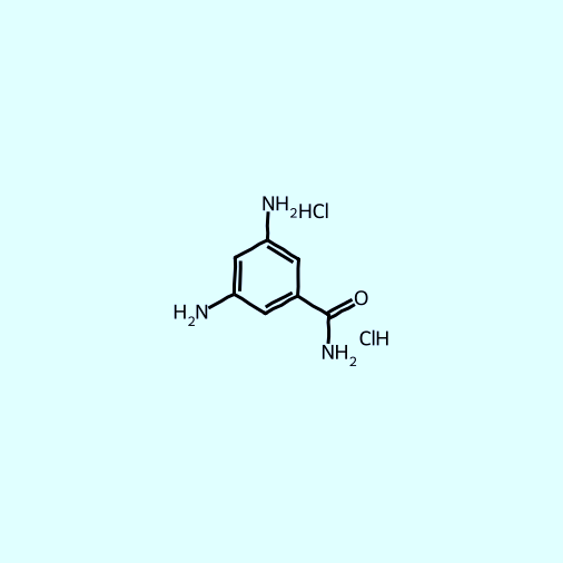 Cl.Cl.NC(=O)c1cc(N)cc(N)c1